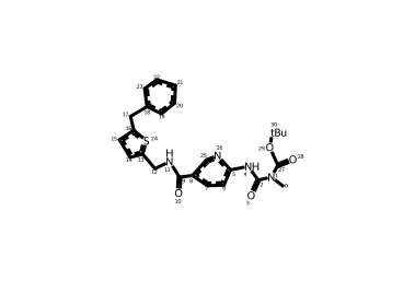 CN(C(=O)Nc1ccc(C(=O)NCc2ccc(Cc3ccccc3)s2)cn1)C(=O)OC(C)(C)C